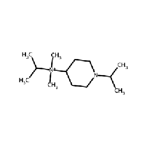 CC(C)N1CCC([N+](C)(C)C(C)C)CC1